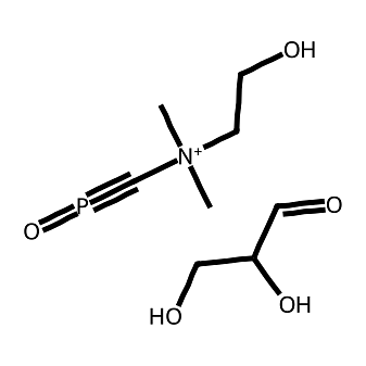 C[N+](C)(C#P=O)CCO.O=CC(O)CO